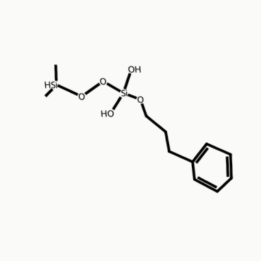 C[SiH](C)OO[Si](O)(O)OCCCc1ccccc1